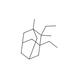 CCC12CC3CC(CC(C)(C3)C1(C)CC)C2